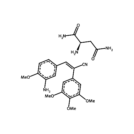 COc1ccc(C=C(C#N)c2cc(OC)c(OC)c(OC)c2)cc1N.NC(=O)C[C@@H](N)C(N)=O